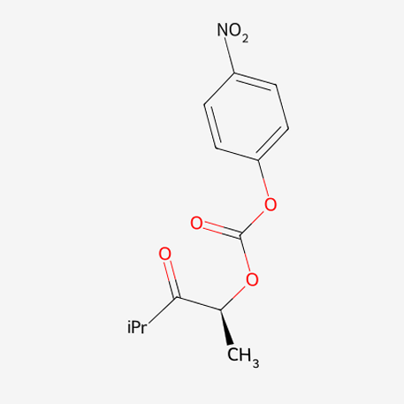 CC(C)C(=O)[C@H](C)OC(=O)Oc1ccc([N+](=O)[O-])cc1